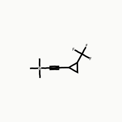 C[Si](C)(C)C#CC1CC1C(F)(F)F